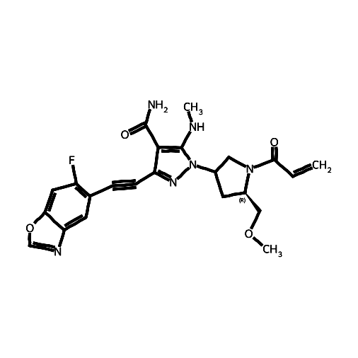 C=CC(=O)N1CC(n2nc(C#Cc3cc4ncoc4cc3F)c(C(N)=O)c2NC)C[C@@H]1COC